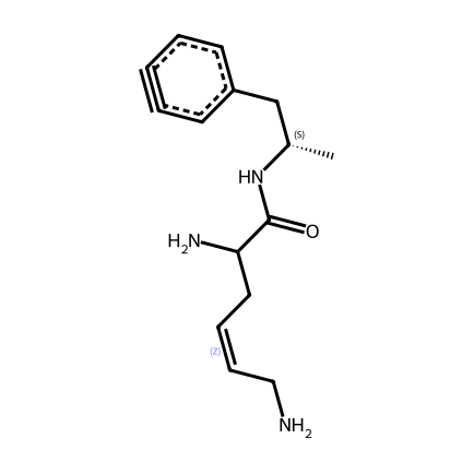 C[C@@H](Cc1cc#ccc1)NC(=O)C(N)C/C=C\CN